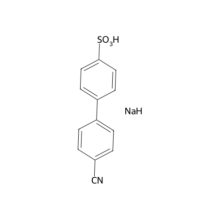 N#Cc1ccc(-c2ccc(S(=O)(=O)O)cc2)cc1.[NaH]